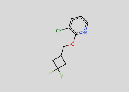 FC1(F)CC(COc2ncccc2Cl)C1